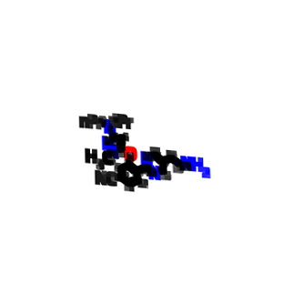 CCCN(CCC)c1cc(Oc2cc(C#N)ccc2-c2ncc(CCN)cn2)n(C)n1